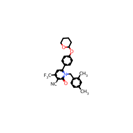 Cc1ccc(Cn2c(-c3ccc(OC4CCCCO4)cc3)cc(C(F)(F)F)c(C#N)c2=O)c(C)c1